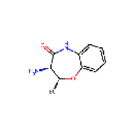 CC[C@@H]1Oc2ccccc2NC(=O)[C@@H]1N